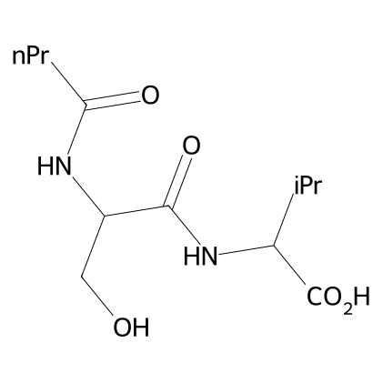 CCCC(=O)NC(CO)C(=O)NC(C(=O)O)C(C)C